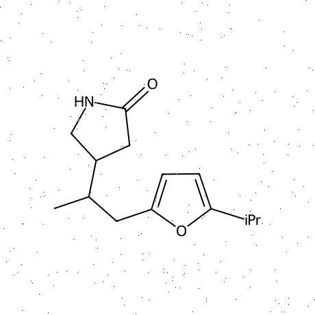 CC(C)c1ccc(CC(C)C2CNC(=O)C2)o1